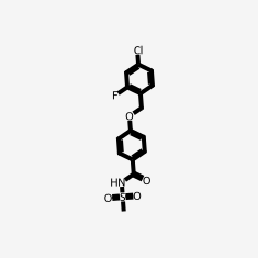 CS(=O)(=O)NC(=O)c1ccc(OCc2ccc(Cl)cc2F)cc1